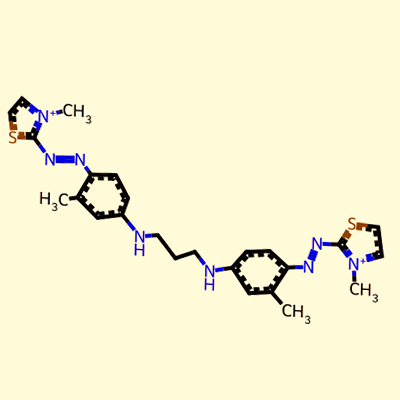 Cc1cc(NCCCNc2ccc(/N=N/c3scc[n+]3C)c(C)c2)ccc1/N=N/c1scc[n+]1C